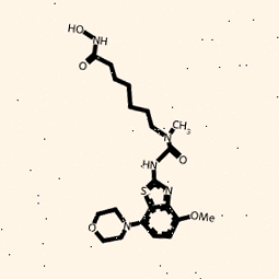 COc1ccc(N2CCOCC2)c2sc(NC(=O)N(C)CCCCCCC(=O)NO)nc12